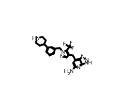 Nc1cc(Cc2cnn(Cc3cccc(C4CCNCC4)c3)c2C(F)(F)F)c2nn[nH]c2n1